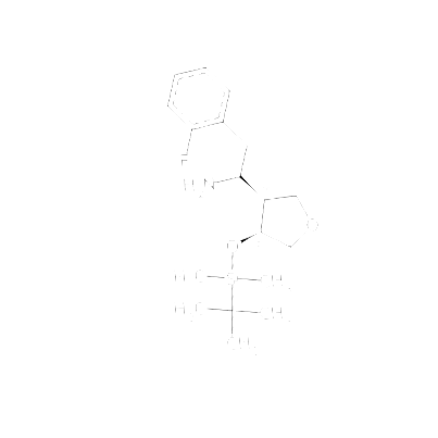 CC(C)(C)[Si](C)(C)O[C@@H]1COC[C@@H]1C(N)Cc1ccccc1F